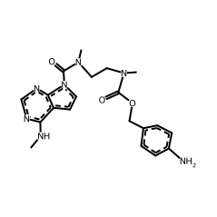 CNc1ncnc2c1ccn2C(=O)N(C)CCN(C)C(=O)OCc1ccc(N)cc1